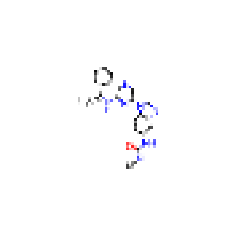 CCNC(=O)Nc1ccc2c(c1)ncn2-c1cncc(N[C@@H](C)c2ccccc2)n1